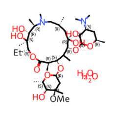 CC[C@H]1OC(=O)[C@H](C)[C@@H](O[C@H]2C[C@@](C)(OC)[C@@H](O)[C@H](C)O2)C(C)[C@@H](O[C@@H]2O[C@H](C)C[C@H](N(C)C)[C@H]2O)[C@](C)(O)C[C@@H](C)CN(C)[C@H](C)[C@@H](O)[C@]1(C)O.O.O